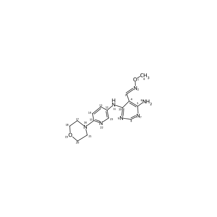 CON=Cc1c(N)ncnc1Nc1ccc(N2CCOCC2)nc1